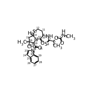 CNC(=O)OC(C)C(=S)N[C@H]1CCS[C@H]2CC(C)(C)[C@H](C(=O)n3ccc4ccccc43)N2C1=O